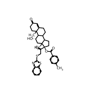 Cc1ccc(C(=O)O[C@]2(C(=O)CSc3nc4ccccc4s3)CCC3C4CCC5=CC(=O)CCC5(C)C4[C@@H](O)CC32C)cc1